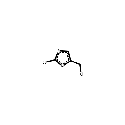 C[CH]c1nc(CCl)cs1